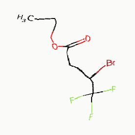 CCOC(=O)CC(Br)C(F)(F)F